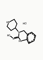 Cl.N#CN=C1Nc2ccccc2CN1C1CCNCC1